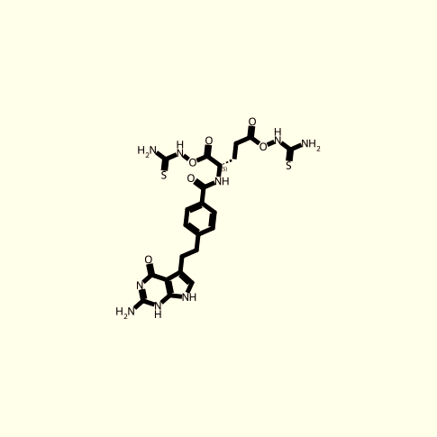 NC(=S)NOC(=O)CC[C@H](NC(=O)c1ccc(CCc2c[nH]c3[nH]c(N)nc(=O)c23)cc1)C(=O)ONC(N)=S